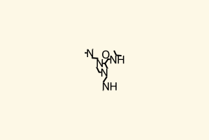 CNCCN1CCN(CCN(C)C)C(C(=O)NC(C)C)C1